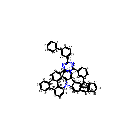 c1ccc(-c2cccc(-c3nc(-c4cccc(-c5ccccc5)c4)nc(-c4ccc5c6ccccc6c6cccc(-n7c8ccccc8c8cc(-c9ccccc9)ccc87)c6c5c4)n3)c2)cc1